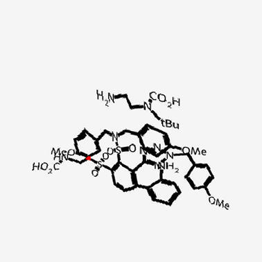 CC(C)(C)N(CCN)C(=O)O.COc1ccc(CN(Cc2ccc(OC)cc2)S(=O)(=O)c2c(S(=O)(=O)CCNC(=O)O)ccc(-c3ccccc3N)c2-c2nnn(Cc3ccc(OC)cc3)n2)cc1